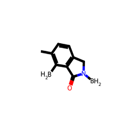 Bc1c(C)ccc2c1C(=O)N(B)C2